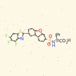 CC(C)[C@H](NS(=O)(=O)c1ccc2c(c1)oc1ccc(-c3nc4c(F)c(F)c(F)cc4s3)cc12)C(=O)O